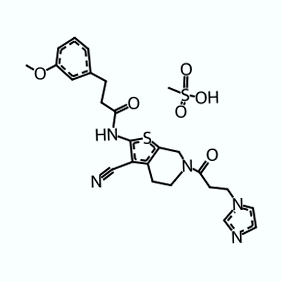 COc1cccc(CCC(=O)Nc2sc3c(c2C#N)CCN(C(=O)CCn2ccnc2)C3)c1.CS(=O)(=O)O